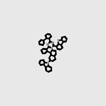 c1ccc(-c2ccccc2-c2nc(-c3ccccc3-c3cccc4ccc(-n5c6ccccc6c6ccccc65)cc34)nc(-c3cccc4c3sc3ccccc34)n2)cc1